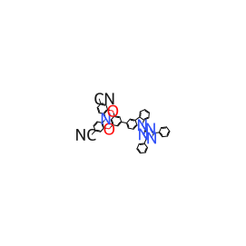 N#Cc1ccc2c(c1)Oc1cc(-c3ccc4c(c3)c3ccccc3n4-c3nc(-c4ccccc4)nc(-c4ccccc4)n3)cc3c1N2c1ccc(C#N)cc1O3